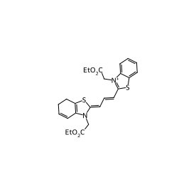 CCOC(=O)CN1C2=C(CCC=C2)S/C1=C\C=Cc1sc2ccccc2[n+]1CC(=O)OCC